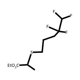 CCOC(=O)C(C)SCCCC(F)(F)C(F)F